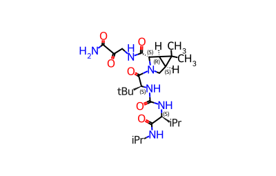 CC(C)NC(=O)[C@@H](NC(=O)N[C@H](C(=O)N1C[C@H]2[C@@H]([C@H]1C(=O)NCC(=O)C(N)=O)C2(C)C)C(C)(C)C)C(C)C